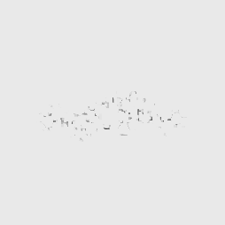 CN[C@@H](C)C(=O)N[C@@H](CC#Cc1cccc([C@H](NOC[C@H](C)NC)C(=O)N2CCC[C@H]2C(=O)N[C@@H]2CCCc3ccccc32)c1)C(=O)N1CCC[C@H]1C(=O)N[C@@H]1CCCc2ccccc21